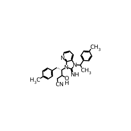 Cc1ccc(C[C@@H](C(O)CC#N)n2c(=N)n(C(C)c3ccc(C)cc3)c3cccnc32)cc1